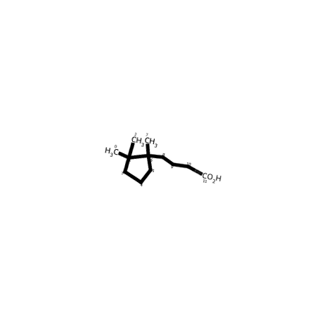 CC1(C)CCCC1(C)CCCC(=O)O